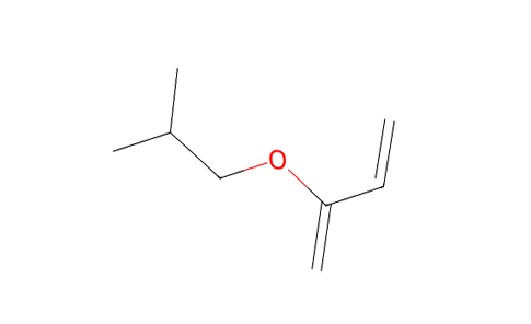 C=CC(=C)OCC(C)C